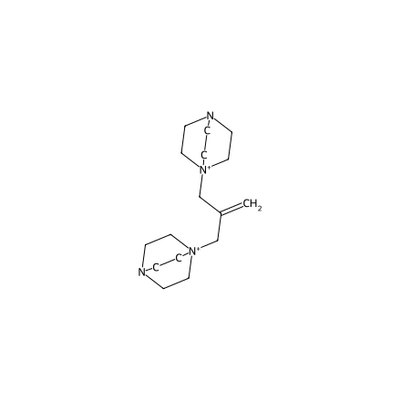 C=C(C[N+]12CCN(CC1)CC2)C[N+]12CCN(CC1)CC2